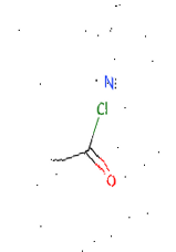 CC(=O)Cl.[N]